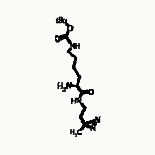 CC1(CCNC(=O)[C@@H](N)CCCCNC(=O)OC(C)(C)C)N=N1